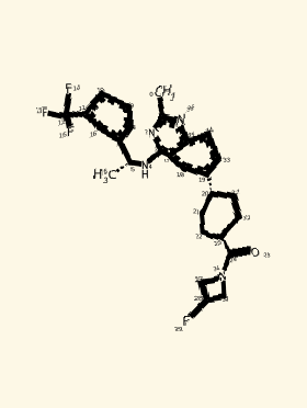 Cc1nc(N[C@H](C)c2cccc(C(F)(F)F)c2)c2cc([C@H]3CC[C@H](C(=O)N4CC(F)C4)CC3)ccc2n1